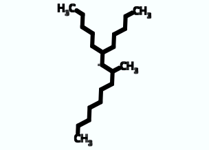 CCCCCCCC(C)[CH]C(CCCCC)CCCCC